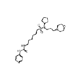 O=S(=O)(CCCCCCNC(=S)Nc1ccncc1)N(CCCN1CCOCC1)C1CCCC1